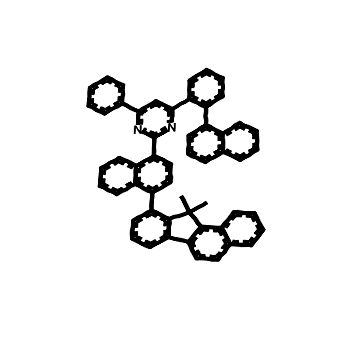 CC1(C)c2c(cccc2-c2ccc(-c3nc(-c4ccccc4)cc(-c4ccccc4-c4cccc5ccccc45)n3)c3ccccc23)-c2ccc3ccccc3c21